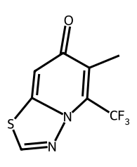 Cc1c(C(F)(F)F)n2ncsc2cc1=O